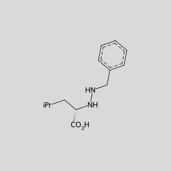 CC(C)C[C@H](NNCc1ccccc1)C(=O)O